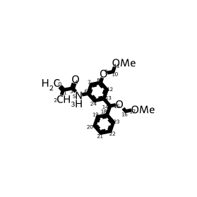 C=C(C)C(=O)Nc1cc(OCOC)cc(C(OCOC)c2ccccc2)c1